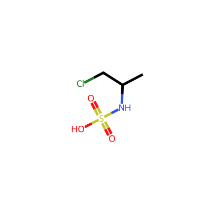 CC(CCl)NS(=O)(=O)O